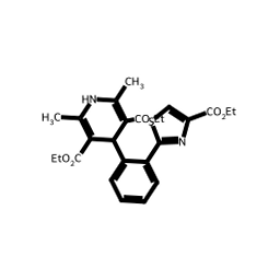 CCOC(=O)C1=C(C)NC(C)=C(C(=O)OCC)C1c1ccccc1-c1nc(C(=O)OCC)cs1